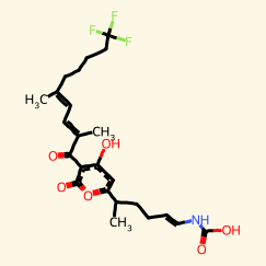 C/C(=C\C=C(/C)C(=O)c1c(O)cc(C(C)CC/C=C/NC(=O)O)oc1=O)CCCCC(F)(F)F